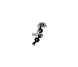 CS(=O)(=O)NC(=O)c1ccc(-n2ncc(-c3ccc(C#N)cc3)c2O)nc1